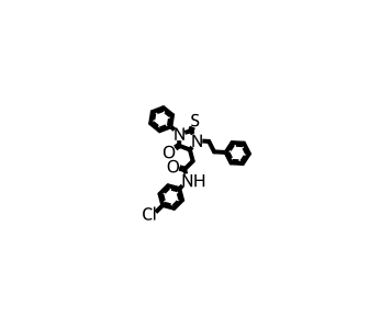 O=C(CC1C(=O)N(c2ccccc2)C(=S)N1CCc1ccccc1)Nc1ccc(Cl)cc1